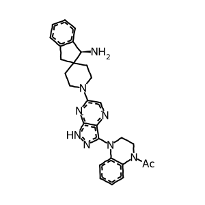 CC(=O)N1CCN(c2n[nH]c3nc(N4CCC5(CC4)Cc4ccccc4[C@H]5N)cnc23)c2ccccc21